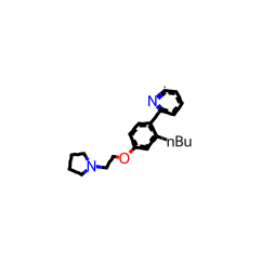 CCCCc1cc(OCCN2CCCC2)ccc1-c1ccc[c]n1